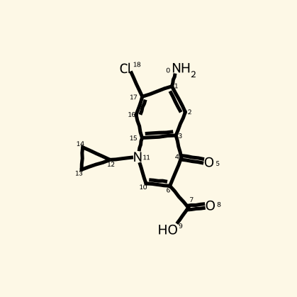 Nc1cc2c(=O)c(C(=O)O)cn(C3CC3)c2cc1Cl